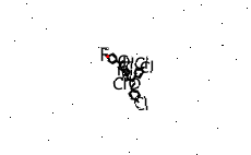 Cl.O=C(CN1C=CN(C(Cl)C(OCc2ccc(Cl)cc2)c2ccc(Cl)cc2)C1)c1ccc(F)cc1